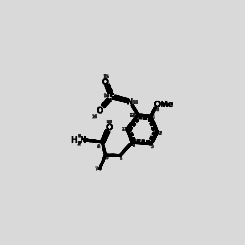 COc1ccc(CC(C)C(N)=O)cc1N=S(=O)=O